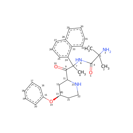 CC(C)(N)C(=O)NC(C)(C(=O)C1C[C@H](Oc2ccccc2)CCN1)c1cccc2ccccc12